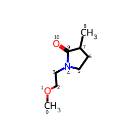 COCCN1CCC(C)C1=O